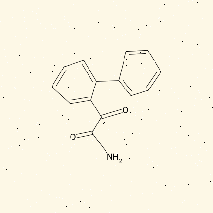 NC(=O)C(=O)c1ccccc1-c1ccccc1